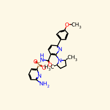 COc1ccc(-c2ccc(C(=O)NS(=O)(=O)c3cccc(N)n3)c(N3[C@H](C)CC[C@@H]3C)n2)cc1